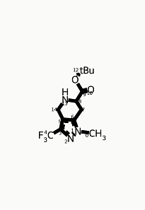 Cn1nc(C(F)(F)F)c2c1CC(C(=O)OC(C)(C)C)NC2